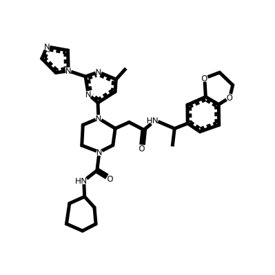 Cc1cc(N2CCN(C(=O)NC3CCCCC3)CC2CC(=O)NC(C)c2ccc3c(c2)OCCO3)nc(-n2ccnc2)n1